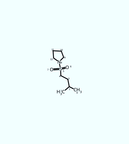 CC(C)CCS(=O)(=O)N1CCCC1